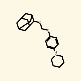 c1cc([SH]2CCCCC2)ccc1OCOC1C2CC3CC(C2)CC1C3